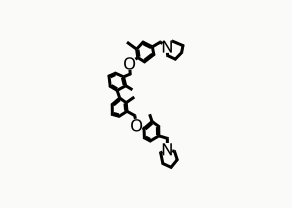 Cc1cc(CN2CCCCC2)ccc1OCc1cccc(-c2cccc(COc3ccc(CN4CCCCC4)cc3C)c2C)c1C